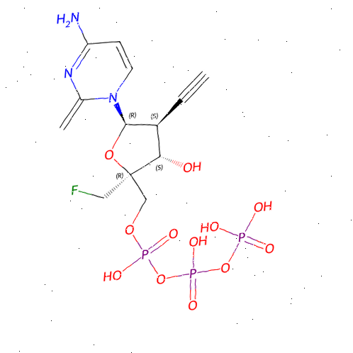 C#C[C@@H]1[C@H](N2C=CC(N)=NC2=C)O[C@](CF)(COP(=O)(O)OP(=O)(O)OP(=O)(O)O)[C@H]1O